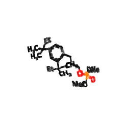 CCC(C)(C)c1ccc(CCCOP(=O)(OC)OC)c(C(C)(C)CC)c1